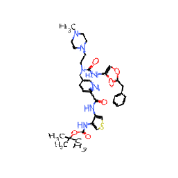 CN1CCN(CCN(Cc2ccc(C(=O)Nc3cscc3NC(=O)OC(C)(C)C)nc2)C(=O)NC2=COC(Cc3ccccc3)O2)CC1